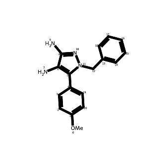 COc1ccc(-c2c(N)c(N)nn2Cc2ccccc2)cc1